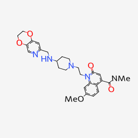 CNC(=O)c1cc(=O)n(CCN2CCC(NCc3cc4c(cn3)OCCO4)CC2)c2cc(OC)ccc12